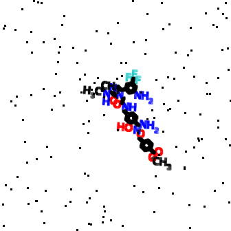 COC(=O)c1ccc(CO/N=C(\N)c2ccc(CNC(=O)Cn3c(-c4cc(N)cc(C(F)(F)F)c4)cnc(NC(C)C)c3=O)cc2O)cc1